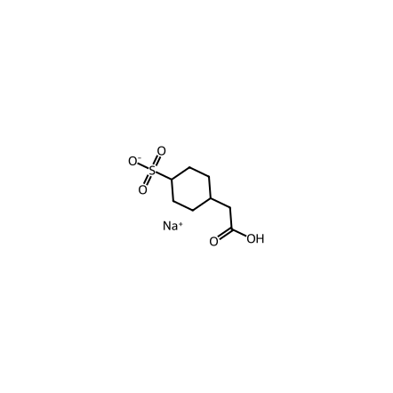 O=C(O)CC1CCC(S(=O)(=O)[O-])CC1.[Na+]